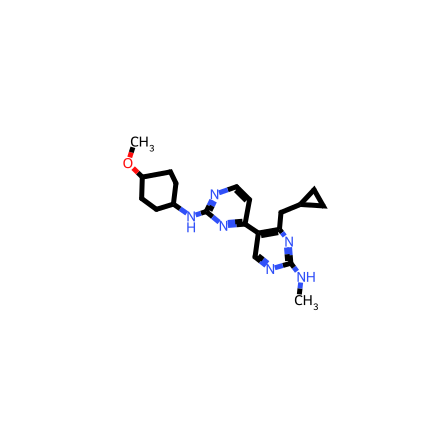 CNc1ncc(-c2ccnc(NC3CCC(OC)CC3)n2)c(CC2CC2)n1